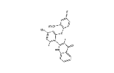 COc1cc(F)ccc1Oc1cc(C(C)(C)C)cc(C)c1-c1[nH]c2ccccc2c(=O)c1C